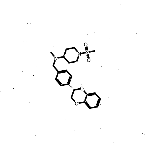 CN(Cc1ccc([C@H]2COc3ccccc3O2)cc1)C1CCN(S(C)(=O)=O)CC1